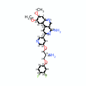 COc1cc2ncc3c(N)nc(-c4cncc(OC[C@H](N)COc5ccc(F)c(F)c5)c4)cc3c2cc1OC